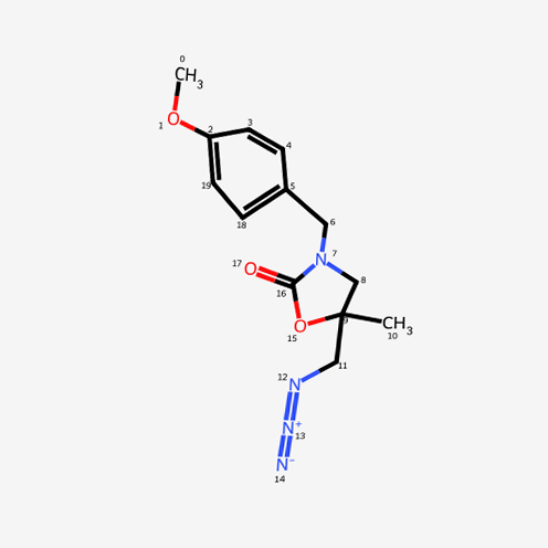 COc1ccc(CN2CC(C)(CN=[N+]=[N-])OC2=O)cc1